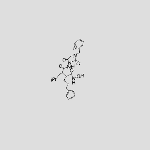 CC(C)CC(C(=O)NN1C(=O)CN(Cc2ccccn2)C1=O)[C@H](CCCc1ccccc1)C(=O)NO